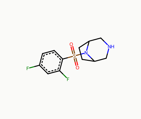 O=S(=O)(c1ccc(F)cc1F)N1C2CCC1CNC2